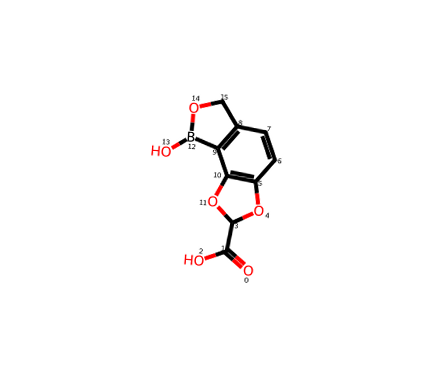 O=C(O)C1Oc2ccc3c(c2O1)B(O)OC3